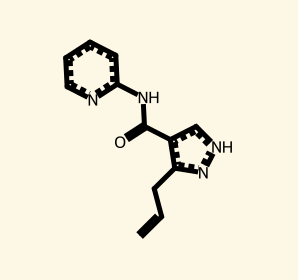 C=CCc1n[nH]cc1C(=O)Nc1ccccn1